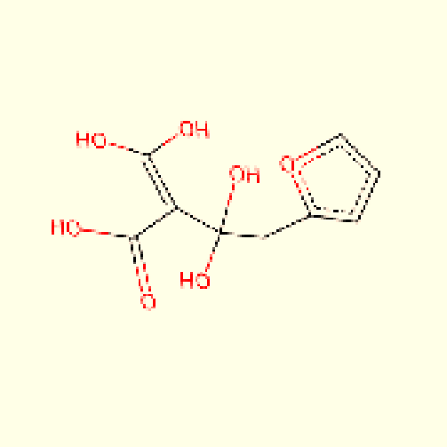 O=C(O)C(=C(O)O)C(O)(O)Cc1ccco1